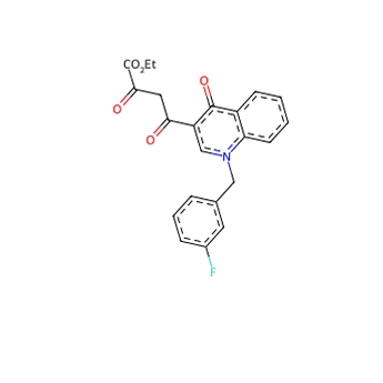 CCOC(=O)C(=O)CC(=O)c1cn(Cc2cccc(F)c2)c2ccccc2c1=O